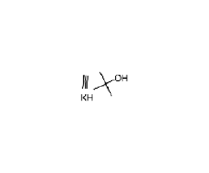 C#C.CC(C)(C)O.[KH]